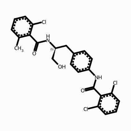 Cc1cccc(Cl)c1C(=O)N[C@H](CO)Cc1ccc(NC(=O)c2c(Cl)cccc2Cl)cc1